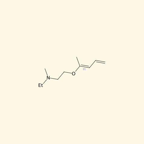 C=C/C=C(\C)OCCN(C)CC